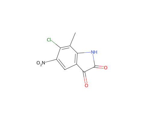 Cc1c(Cl)c([N+](=O)[O-])cc2c1NC(=O)C2=O